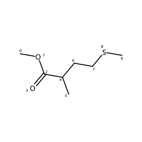 COC(=O)C(C)CCSC